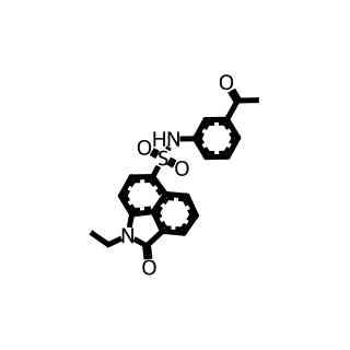 CCN1C(=O)c2cccc3c(S(=O)(=O)Nc4cccc(C(C)=O)c4)ccc1c23